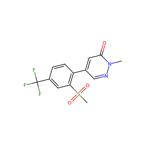 Cn1ncc(-c2ccc(C(F)(F)F)cc2S(C)(=O)=O)[c]c1=O